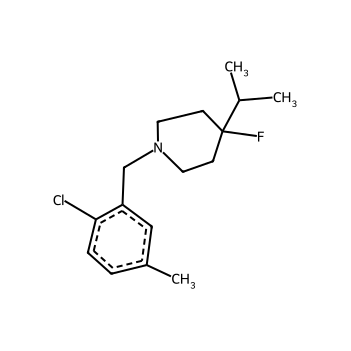 Cc1ccc(Cl)c(CN2CCC(F)(C(C)C)CC2)c1